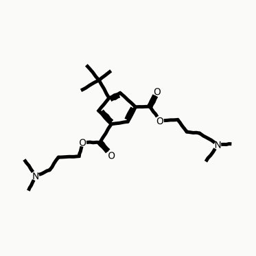 CN(C)CCCOC(=O)c1cc(C(=O)OCCCN(C)C)cc(C(C)(C)C)c1